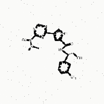 CC(=O)N(c1ncnc(-c2c[nH]c(C(=O)N[C@H](CO)c3cccc(C(F)(F)F)c3)c2)n1)N(C)C